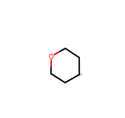 [C]1CCOCC1